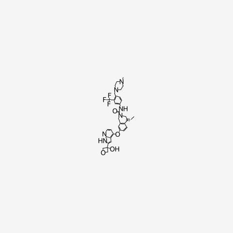 CC[C@H]1CN(C(=O)Nc2ccc(CN3CCN(C)CC3)c(C(F)(F)F)c2)Cc2cc(Oc3ccnc4[nH]c(C5(O)COC5)cc34)ccc21